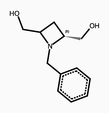 OCC1C[C@H](CO)N1Cc1ccccc1